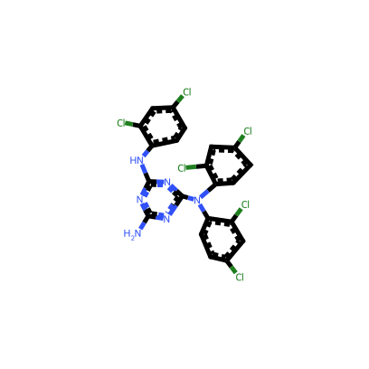 Nc1nc(Nc2ccc(Cl)cc2Cl)nc(N(c2ccc(Cl)cc2Cl)c2ccc(Cl)cc2Cl)n1